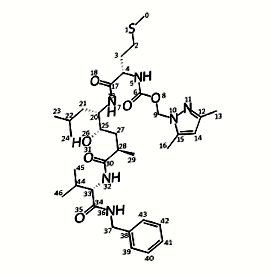 CSCC[C@H](NC(=O)OCn1nc(C)cc1C)C(=O)N[C@@H](CC(C)C)[C@@H](O)C[C@@H](C)C(=O)N[C@H](C(=O)NCc1ccccc1)C(C)C